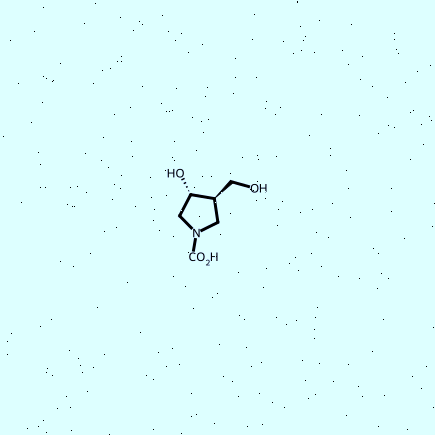 O=C(O)N1C[C@H](CO)[C@@H](O)C1